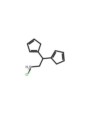 Cl[SiH2]CC(C1=CC=CC1)C1=CC=CC1